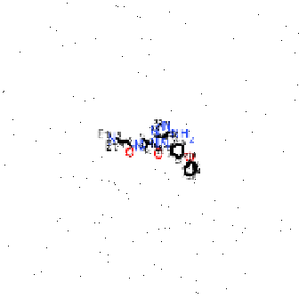 CCN(CC)CC=CC(=O)N1CC(n2c(=O)n(-c3ccc(Oc4ccccc4)cc3)c3c(N)ncnc32)C1